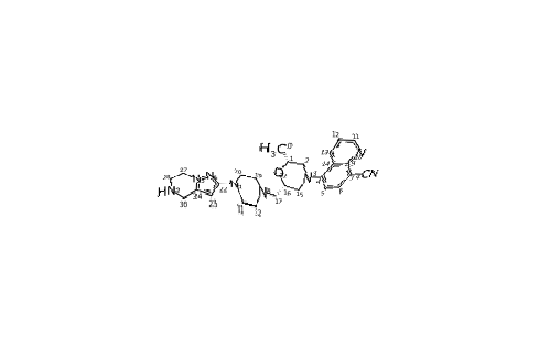 C[C@@H]1CN(c2ccc(C#N)c3ncccc23)C[C@H](CN2CCN(c3cc4n(n3)CCNC4)CC2)O1